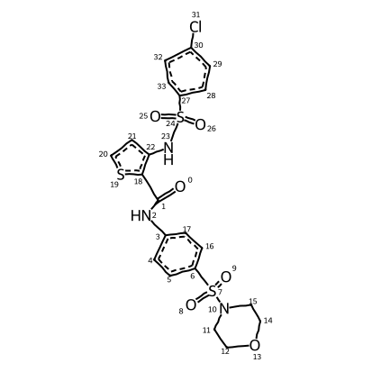 O=C(Nc1ccc(S(=O)(=O)N2CCOCC2)cc1)c1sccc1NS(=O)(=O)c1ccc(Cl)cc1